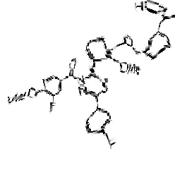 C=C(O)c1cccc(COc2cccc(C3SC(c4ccc(F)cc4)=NN3C(=O)c3ccc(OC)c(F)c3)c2OC)c1